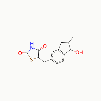 CC1Cc2cc(CC3SC(=O)NC3=O)ccc2C1O